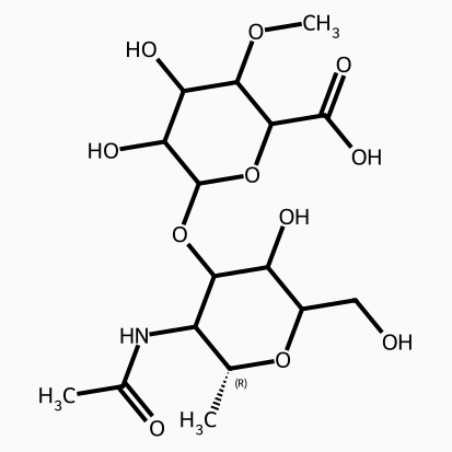 COC1C(C(=O)O)OC(OC2C(O)C(CO)O[C@H](C)C2NC(C)=O)C(O)C1O